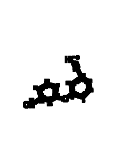 C#Cc1cccc(Oc2cccc(N=O)c2)c1